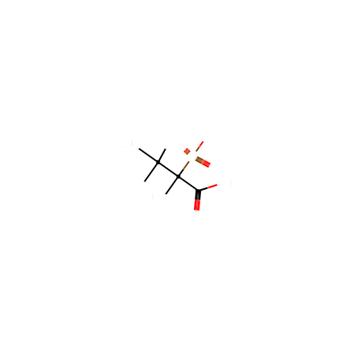 CC(C)(C)C([SiH3])(C(=O)O)S(=O)(=O)O.[LiH]